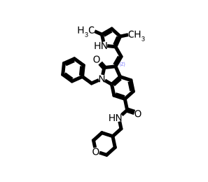 Cc1cc(C)c(/C=C2\C(=O)N(Cc3ccccc3)c3cc(C(=O)NCC4CCOCC4)ccc32)[nH]1